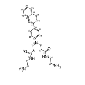 NCCNC(=O)CCN(CCC(=O)NCCN)c1ccc(-c2ccc3ccccc3n2)cc1